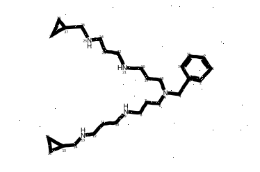 c1ccc(CN(CCCNCCCNCC2CC2)CCCNCCCNCC2CC2)cc1